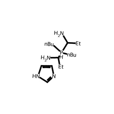 CCCC[PH](CCCC)(C(N)CC)C(N)CC.c1c[nH]cn1